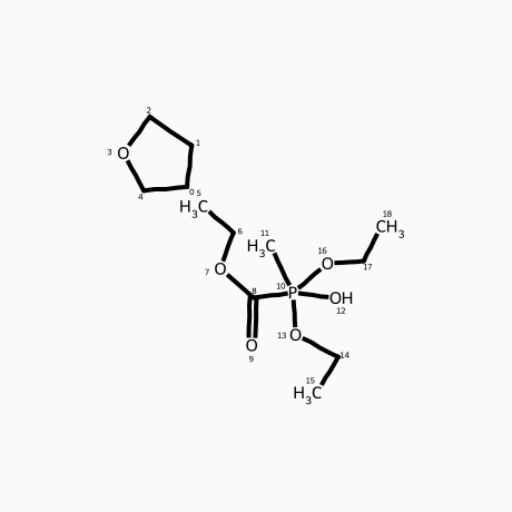 C1CCOC1.CCOC(=O)P(C)(O)(OCC)OCC